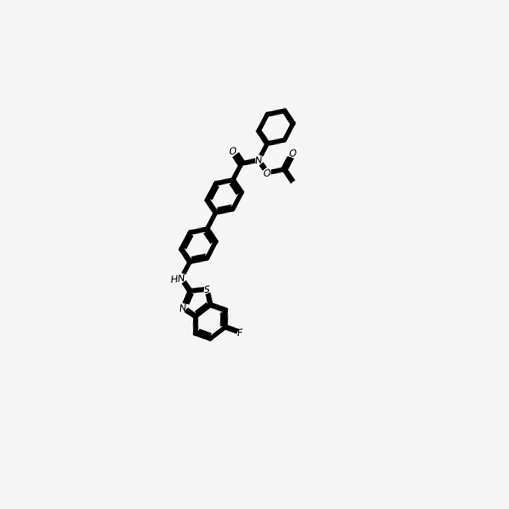 CC(=O)ON(C(=O)c1ccc(-c2ccc(Nc3nc4ccc(F)cc4s3)cc2)cc1)C1CCCCC1